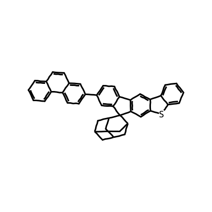 c1ccc2c(c1)ccc1cc(-c3ccc4c(c3)C3(c5cc6sc7ccccc7c6cc5-4)C4CC5CC(C4)CC3C5)ccc12